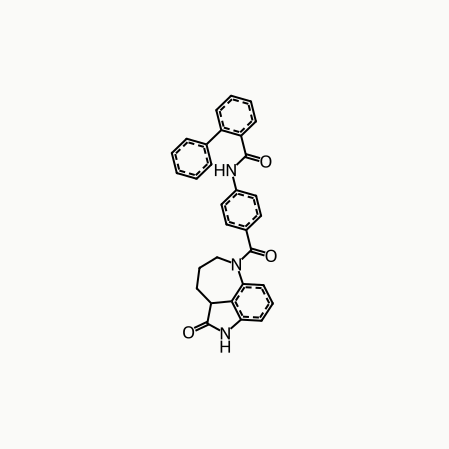 O=C(Nc1ccc(C(=O)N2CCCC3C(=O)Nc4cccc2c43)cc1)c1ccccc1-c1ccccc1